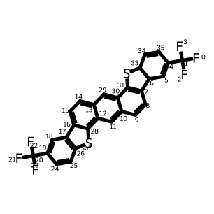 FC(F)(F)C1=CC2c3ccc4cc5c(ccc6c7cc(C(F)(F)F)ccc7sc56)cc4c3SC2C=C1